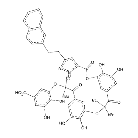 CCCCC(CC)(Oc1cc(C(=O)O)cc(O)c1O)C(=O)c1cc(O)c(O)c(OC(CC)(CCC)C(=O)c2cc(O)c(O)c(OC(=O)c3cc(CCc4ccc5ccccc5c4)n[nH]3)c2)c1